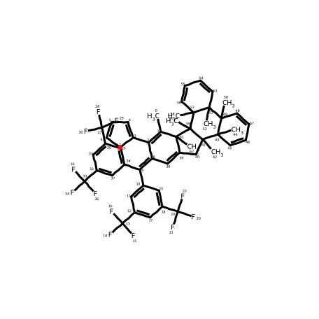 CC1=C(C2=CC=CC2)C(=C(c2cc(C(F)(F)F)cc(C(F)(F)F)c2)c2cc(C(F)(F)F)cc(C(F)(F)F)c2)C=C2[C]C3(C)C4(C)C=CC=CC4(C)C4(C)C=CC=CC4(C)C3(C)C21C